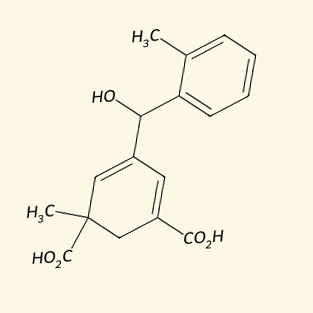 Cc1ccccc1C(O)C1=CC(C)(C(=O)O)CC(C(=O)O)=C1